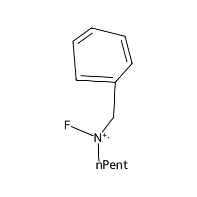 CCCCC[N+](F)Cc1ccccc1